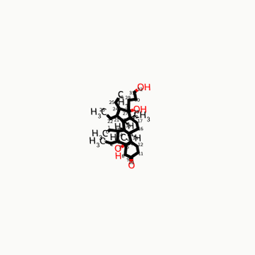 CCC1C(CC)C2(O)CC(=O)CC[C@]2(C)[C@@H]2CC[C@@]3(C)[C@@H](C(CC)C(CC)C3(O)CCCO)[C@H]12